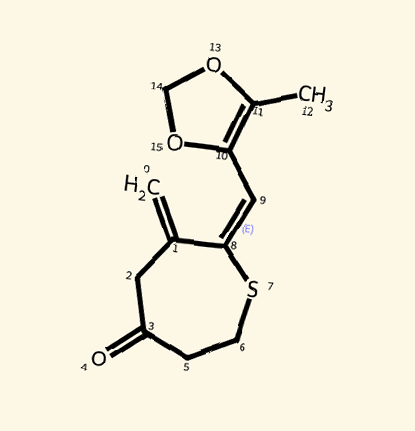 C=C1CC(=O)CCS/C1=C/C1=C(C)OCO1